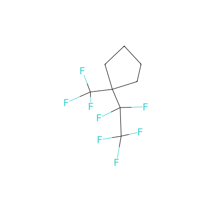 FC(F)(F)C(F)(F)C1(C(F)(F)F)CCCC1